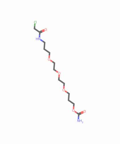 NC(=O)OCCCOCCOCCOCCCNC(=O)CCl